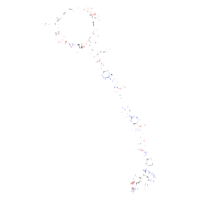 CO[C@H]1C[C@@H]2CC[C@@H](C)[C@@](O)(O2)C(=O)C(=O)N2CCCC[C@H]2C(=O)O[C@H]([C@H](N)C[C@@H]2CC[C@@H](OC(=O)NCc3cnc(N4CCN(C(=O)CCOCCN5CCN(c6ncc(C(=O)NCCOCCC(=O)N7CCc8ccc(-n9nc(-c%10ccc%11oc(N)nc%11c%10)c%10c(N)ncnc%109)cc8C7)cn6)CC5)CC4)nc3)[C@H](OC)C2)CC(=O)[C@H](C)/C=C(\C)[C@@H](O)[C@@H](O)C(=O)[C@H](C)C[C@H](C)/C=C/C=C/C=C/1C